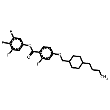 CCCCC1CCC(COc2ccc(C(=O)Oc3cc(F)c(F)c(F)c3)c(F)c2)CC1